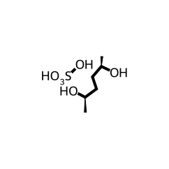 C[C@@H](O)CC[C@@H](C)O.O=S(=O)(O)O